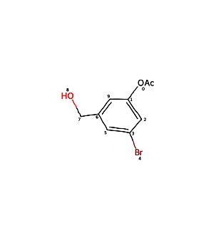 CC(=O)Oc1cc(Br)cc(CO)c1